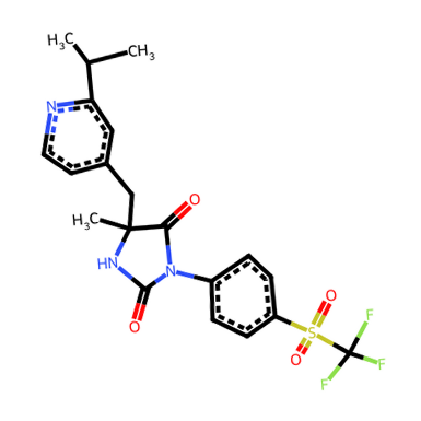 CC(C)c1cc(CC2(C)NC(=O)N(c3ccc(S(=O)(=O)C(F)(F)F)cc3)C2=O)ccn1